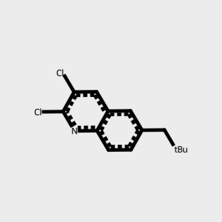 CC(C)(C)Cc1ccc2nc(Cl)c(Cl)cc2c1